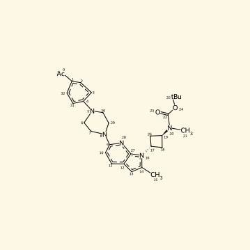 CC(=O)c1ccc(N2CCN(c3ccc4cc(C)n([C@H]5C[C@H](N(C)C(=O)OC(C)(C)C)C5)c4n3)CC2)cc1